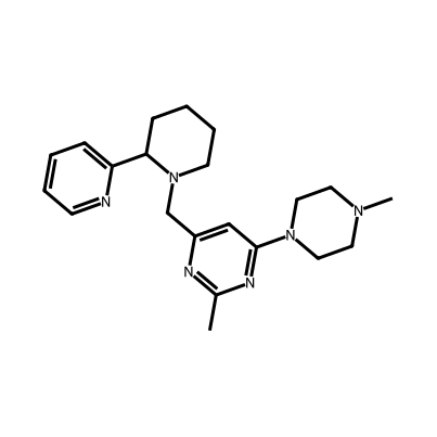 Cc1nc(CN2CCCCC2c2ccccn2)cc(N2CCN(C)CC2)n1